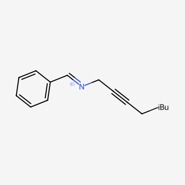 CCC(C)CC#CC/N=C/c1ccccc1